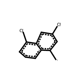 [CH]c1cc(Cl)cc2c(Cl)cccc12